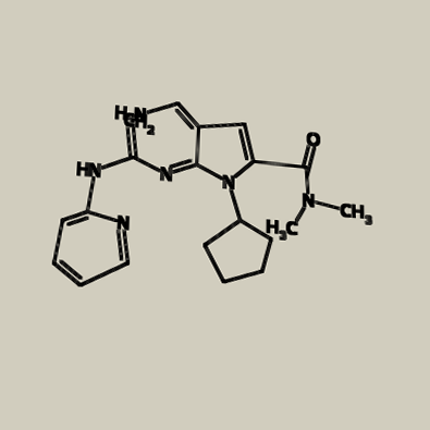 C=C(/N=C1\C(=C/N)C=C(C(=O)N(C)C)N1C1CCCC1)Nc1ccccn1